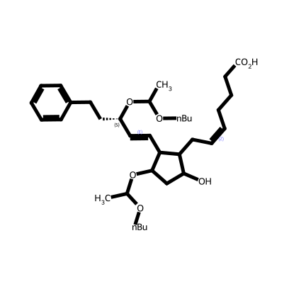 CCCCOC(C)OC1CC(O)C(C/C=C\CCCC(=O)O)C1/C=C/[C@H](CCc1ccccc1)OC(C)OCCCC